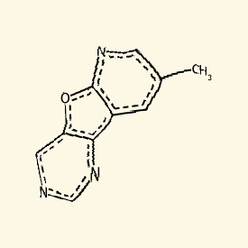 Cc1cnc2oc3cncnc3c2c1